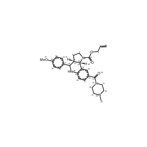 C=CCOC(=O)N1CC[C@H]2C(c3ccc(OC)cc3)Nc3ccc(C(=O)N4CCN(C)CC4)cc3[C@H]21